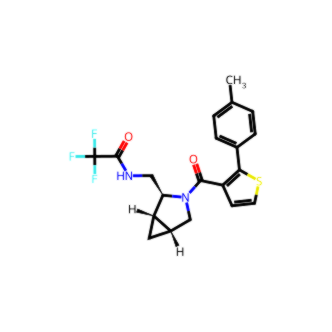 Cc1ccc(-c2sccc2C(=O)N2C[C@@H]3C[C@@H]3[C@H]2CNC(=O)C(F)(F)F)cc1